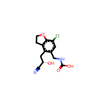 N#C[C@@H](O)Cc1c(CNC(=O)O)cc(Cl)c2c1CCO2